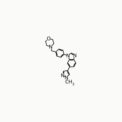 Cn1cc(-c2ccc3ncn(-c4ccc(CN5CCOCC5)cc4)c3c2)cn1